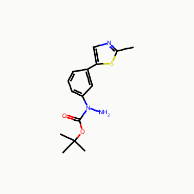 Cc1ncc(-c2cccc(N(N)C(=O)OC(C)(C)C)c2)s1